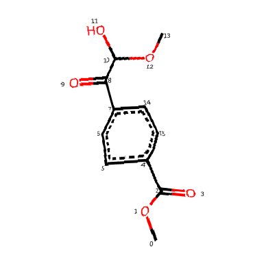 COC(=O)c1ccc(C(=O)C(O)OC)cc1